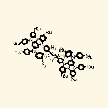 Cc1ccc(N(c2ccc(C)cc2)c2cc3c4c(c2)N(c2ccc(C(C)(C)CCC(C)(C)c5ccc(N6c7ccc(C(C)(C)C)cc7B7c8cc(C(C)(C)C)ccc8N(c8ccc(C(C)(C)C)cc8)c8cc(N(c9ccc(C(C)(C)C)cc9)c9ccc(C(C)(C)C)cc9)cc6c87)cc5)cc2)c2ccc(C(C)(C)C)cc2B4c2cc(C(C)(C)C)ccc2N3c2ccc(C(C)(C)C)cc2)cc1